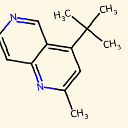 Cc1cc(C(C)(C)C)c2cnccc2n1